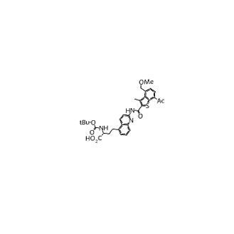 COCc1ccc(C(C)=O)c2sc(C(=O)Nc3ccc4c(CC[C@H](NC(=O)OC(C)(C)C)C(=O)O)cccc4n3)c(C)c12